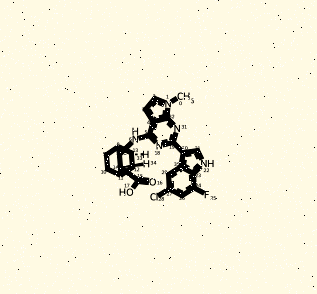 Cn1ccc2c(N[C@@H]3C4CCC(CC4)[C@H]3C(=O)O)nc(-c3c[nH]c4c(F)cc(Cl)cc34)nc21